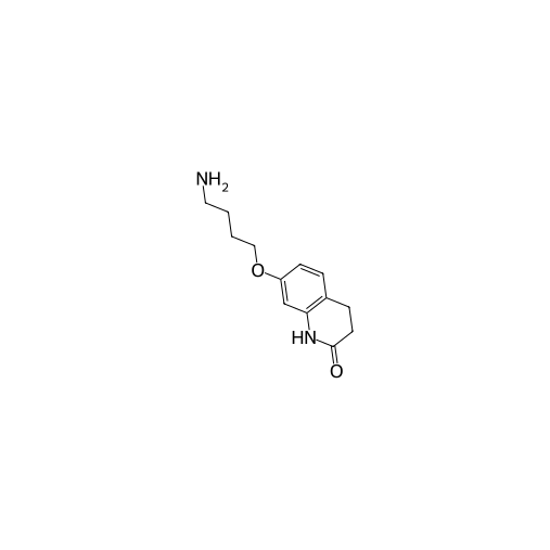 NCCCCOc1ccc2c(c1)NC(=O)CC2